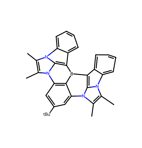 Cc1c(C)n2c3ccccc3c3c2n1-c1cc(C(C)(C)C)cc2c1B3c1c3ccccc3n3c(C)c(C)n-2c13